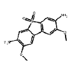 COc1cc2c(cc1N)S(=O)(=O)c1cc(N)c(OC)cc1-2